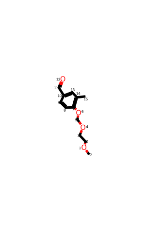 COCCOCOc1ccc(C=O)cc1C